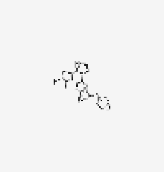 Cc1cc(-c2ncccc2-c2ccc3ncc(CN4CCOCC4)n3c2)ccc1F